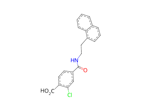 O=C(NCCc1cccc2ccccc12)c1ccc(C(=O)O)c(Cl)c1